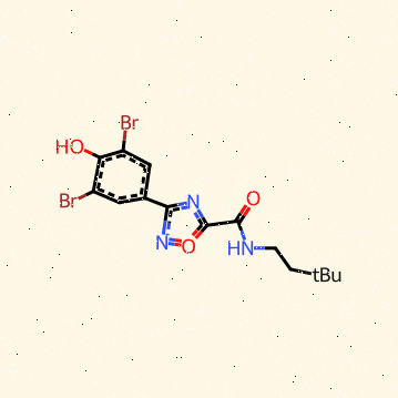 CC(C)(C)CCNC(=O)c1nc(-c2cc(Br)c(O)c(Br)c2)no1